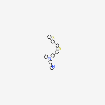 c1ccc(N(c2ccc(-c3ccc4sc5ccc(-c6ccc7c(c6)sc6ccccc67)cc5c4c3)cc2)c2ccc(-c3ccccn3)cc2)cc1